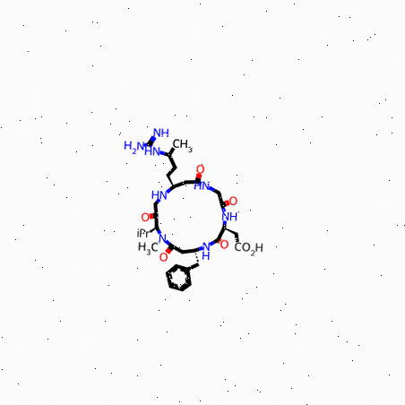 CC(CC[C@H]1CC(=O)NCC(=O)N[C@@H](CC(=O)O)C(=O)N[C@H](Cc2ccccc2)CC(=O)N(C)[C@@H](C(C)C)C(=O)CN1)NC(=N)N